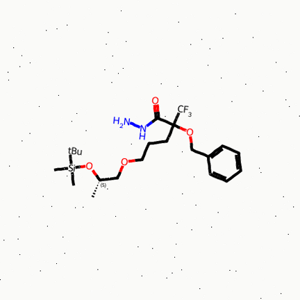 C[C@@H](COCCCC(OCc1ccccc1)(C(=O)NN)C(F)(F)F)O[Si](C)(C)C(C)(C)C